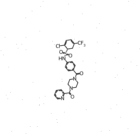 O=C(c1ccc(NS(=O)(=O)C2CC(C(F)(F)F)=CC=C2Cl)cc1)N1CCN(C(=O)c2ccccn2)CC1